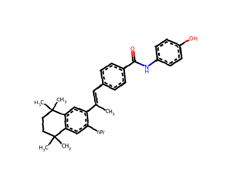 CCCc1cc2c(cc1/C(C)=C/c1ccc(C(=O)Nc3ccc(O)cc3)cc1)C(C)(C)CCC2(C)C